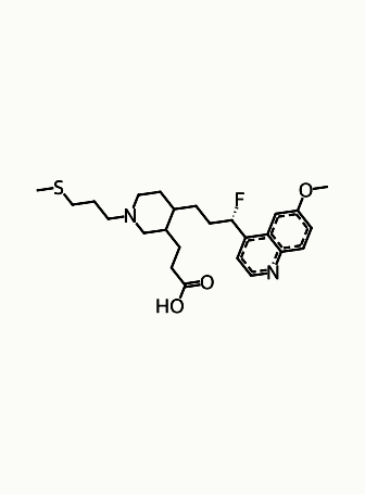 COc1ccc2nccc([C@@H](F)CCC3CCN(CCCSC)CC3CCC(=O)O)c2c1